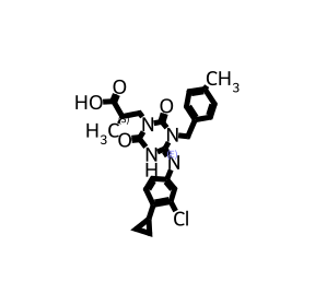 Cc1ccc(Cn2c(=O)n(C[C@H](C)C(=O)O)c(=O)[nH]/c2=N\c2ccc(C3CC3)c(Cl)c2)cc1